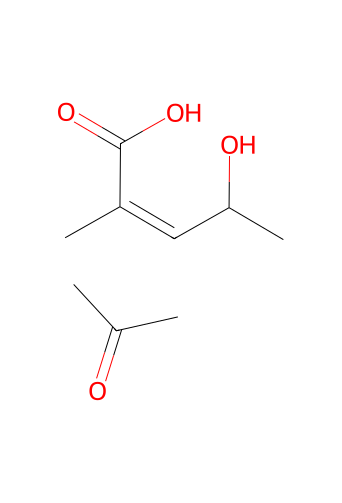 CC(=CC(C)O)C(=O)O.CC(C)=O